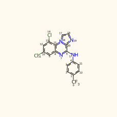 FC(F)(F)c1ccc(Nc2nc3cc(Cl)cc(Cl)c3n3ccnc23)cc1